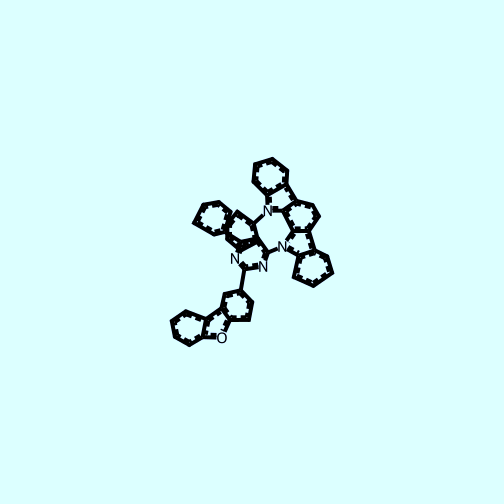 c1ccc(-c2cc(-n3c4ccccc4c4ccc5c6ccccc6n(-c6ccccc6)c5c43)nc(-c3ccc4oc5ccccc5c4c3)n2)cc1